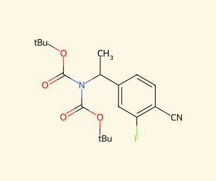 CC(c1ccc(C#N)c(F)c1)N(C(=O)OC(C)(C)C)C(=O)OC(C)(C)C